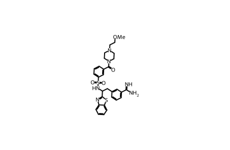 COCCN1CCN(C(=O)c2cccc(S(=O)(=O)NC(Cc3cccc(C(=N)N)c3)c3nc4ccccc4s3)c2)CC1